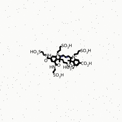 CC1(C)C(/C=C/C=C2/N(CCCS(=O)(=O)O)c3cc(C(=O)NCCS(=O)(=O)O)cc(C(=O)NCCS(=O)(=O)O)c3C2(C)CCCS(=O)(=O)O)=[N+](CCCS(=O)(=O)O)c2cc(C(=O)O)cc(S(=O)(=O)O)c21